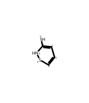 SC1=CC=CSN1